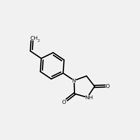 C=Cc1ccc(N2CC(=O)NC2=O)cc1